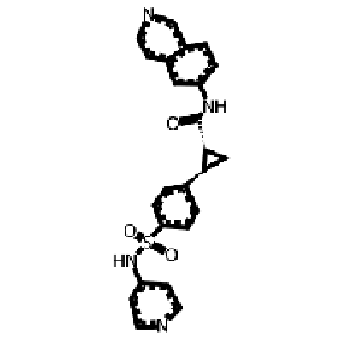 O=C(Nc1ccc2cnccc2c1)[C@@H]1C[C@H]1c1ccc(S(=O)(=O)Nc2ccncc2)cc1